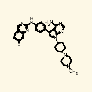 CN1CCN([C@H]2CC[C@H](n3cc(-c4ccc(Nc5ncc6ccc(F)cc6n5)cc4)c4c(N)ncnc43)CC2)CC1